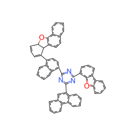 C1=CC2Oc3c(ccc4ccccc34)C2C(c2ccc(-c3nc(-c4cc5ccccc5c5ccccc45)nc(-c4cccc5c4oc4ccccc45)n3)c3ccccc23)=C1